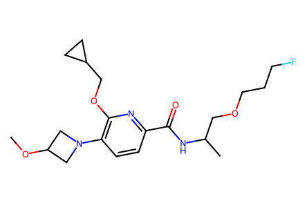 COC1CN(c2ccc(C(=O)NC(C)COCCCF)nc2OCC2CC2)C1